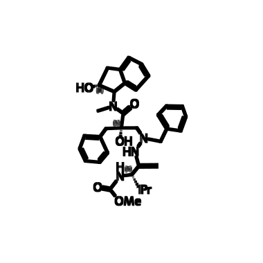 C=C(NN(Cc1ccccc1)C[C@@](O)(Cc1ccccc1)C(=O)N(C)C1c2ccccc2C[C@H]1O)[C@@H](NC(=O)OC)C(C)C